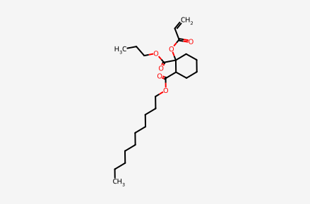 C=CC(=O)OC1(C(=O)OCCC)CCCCC1C(=O)OCCCCCCCCCC